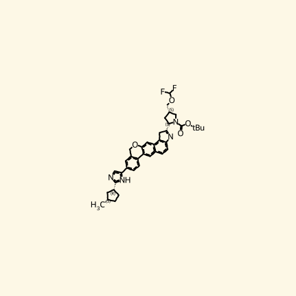 C[C@H]1CC[C@@H](c2ncc(-c3ccc4c(c3)COc3cc5c6c(ccc5cc3-4)N=C([C@@H]3C[C@H](COC(F)F)CN3C(=O)OC(C)(C)C)C6)[nH]2)C1